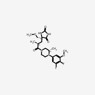 COC[C@]1(C[C@H](C)C(=O)N2CCN(c3cc(F)c(F)c(OC)c3)[C@@H](C)C2)NC(=O)NC1=O